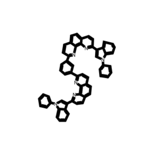 c1ccc(-n2cc(-c3ccc4ccc5ccc(-c6cccc(-c7ccc8ccc9ccc(-c%10cn(-c%11ccccc%11)c%11ccccc%10%11)nc9c8n7)c6)nc5c4n3)c3ccccc32)cc1